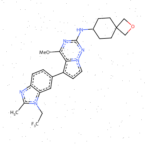 COc1nc(NC2CCC3(CC2)COC3)nn2ccc(-c3ccc4nc(C)n(CC(F)(F)F)c4c3)c12